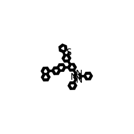 c1ccc(-c2nc(-c3ccccc3)nc(-c3ccc(-c4ccc5c(c4)sc4ccccc45)c(-c4ccc5cc(-c6cccc7ccccc67)ccc5c4)c3)n2)cc1